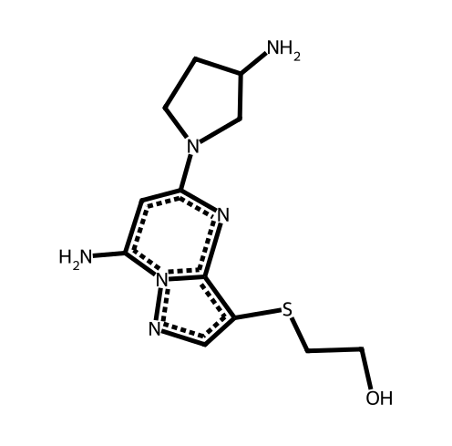 Nc1cc(N2CCC(N)C2)nc2c(SCCO)cnn12